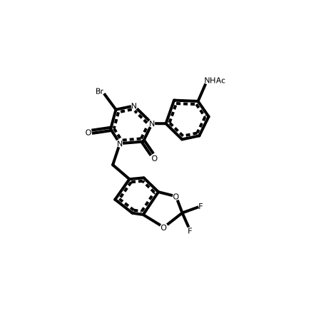 CC(=O)Nc1cccc(-n2nc(Br)c(=O)n(Cc3ccc4c(c3)OC(F)(F)O4)c2=O)c1